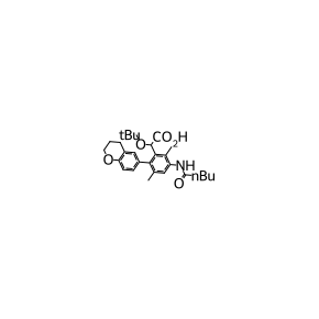 CCCCC(=O)Nc1cc(C)c(-c2ccc3c(c2)CCCO3)c(C(OC(C)(C)C)C(=O)O)c1C